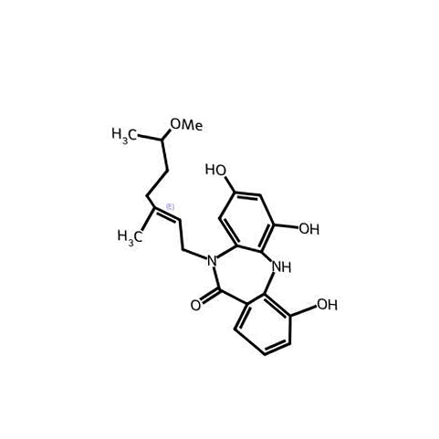 COC(C)CC/C(C)=C/CN1C(=O)c2cccc(O)c2Nc2c(O)cc(O)cc21